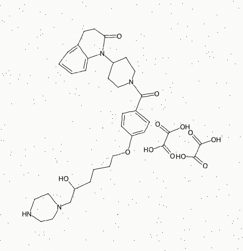 O=C(O)C(=O)O.O=C(O)C(=O)O.O=C(c1ccc(OCCCCC(O)CN2CCNCC2)cc1)N1CCC(N2C(=O)CCc3ccccc32)CC1